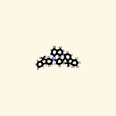 CC1(C)c2ccccc2-c2ccc(N(c3cccc(-c4cccc5c4C(C)(C)c4ccccc4-5)c3)c3cccc4ccccc34)cc21